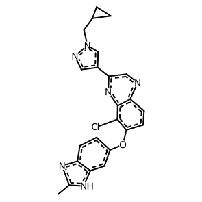 Cc1nc2ccc(Oc3ccc4ncc(-c5cnn(CC6CC6)c5)nc4c3Cl)cc2[nH]1